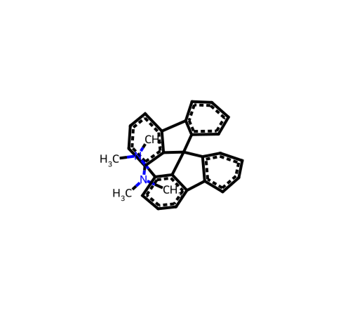 CN(C)c1cccc2c1C1(c3ccccc3-2)c2ccccc2-c2cccc(N(C)C)c21